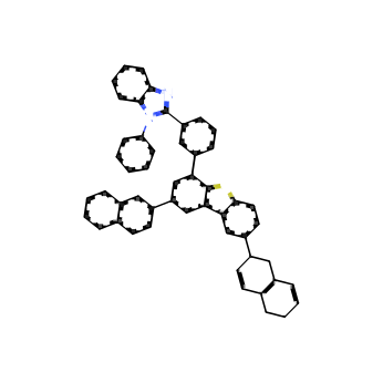 C1=CC2=C(C=CC(c3ccc4sc5c(-c6cccc(-c7nc8ccccc8n7-c7ccccc7)c6)cc(-c6ccc7ccccc7c6)cc5c4c3)C2)CC1